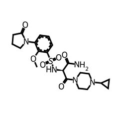 COc1c(N2CCCC2=O)cccc1S(=O)(=O)N[C@@H](C(N)=O)C(=O)N1CCN(C2CC2)CC1